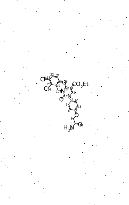 CCOC(=O)c1cn(-c2ccc(OCC(N)=O)cc2)c(=O)n(Cc2cccc(Cl)c2Cl)c1=O